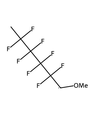 CO[CH]C(F)(F)C(F)(F)C(F)(F)C(C)(F)F